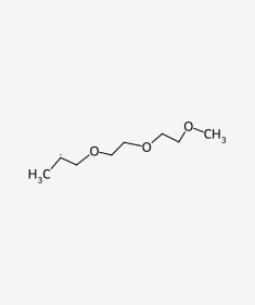 C[CH]COCCOCCOC